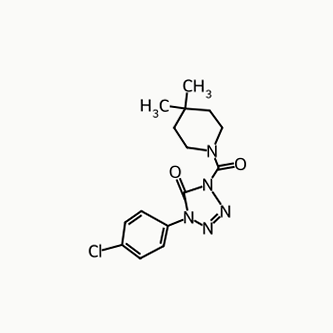 CC1(C)CCN(C(=O)n2nnn(-c3ccc(Cl)cc3)c2=O)CC1